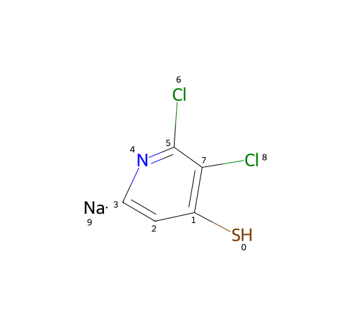 Sc1ccnc(Cl)c1Cl.[Na]